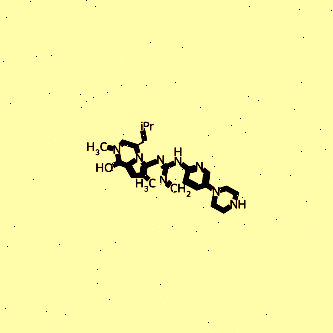 C=N/C(=N\c1c(C)cc2n1[C@@H](CC(C)C)CN(C)C2O)Nc1ccc(N2CCNCC2)cn1